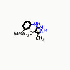 CSc1cccc(Nc2n[nH]c(C)c2C(=O)O)c1